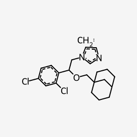 Clc1ccc(C(Cn2ccnc2)OCC23CCCC(CCC2)C3)c(Cl)c1.[CH2]